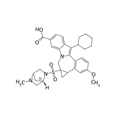 COc1ccc2c(c1)C1CC1(S(=O)(=O)N1CC3C[C@H]1CN3C)Cn1c-2c(C2CCCCC2)c2ccc(C(=O)O)cc21